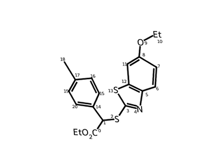 CCOC(=O)C(Sc1nc2ccc(OCC)cc2s1)c1ccc(C)cc1